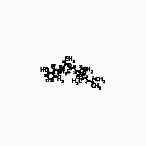 C=C/C(C)=C\C=C(/C)S(=O)(=O)/C(C=C)=C/C=C(\C)O/C(C=C)=C/C=C(\C)C(=O)c1ccccc1O